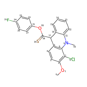 COc1ccc2c(c1Cl)N(C)c1ccccc1C2C(=S)Oc1ccc(F)cc1